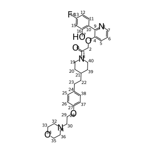 O=C(COc1cccnc1-c1ccc(F)cc1O)N1CCC(CCc2ccc(OCCN3CCOCC3)cc2)CC1